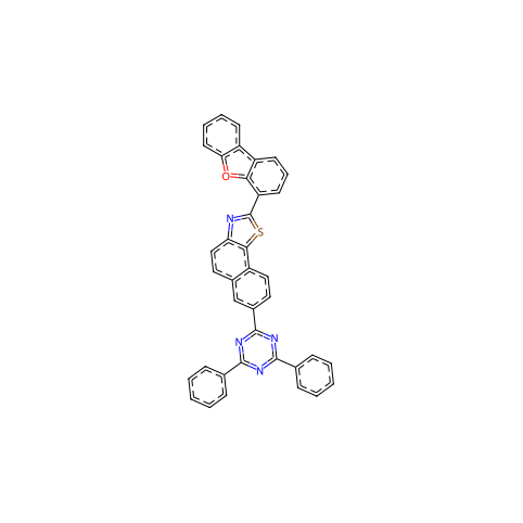 c1ccc(-c2nc(-c3ccccc3)nc(-c3ccc4c(ccc5nc(-c6cccc7c6oc6ccccc67)sc54)c3)n2)cc1